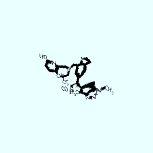 Cc1c([C@@H](CC(=O)O)c2cc(CN3Cc4nc(O)ccc4O[C@@H](C(F)(F)F)C3)c3sccc3c2)ccc2c1nnn2C